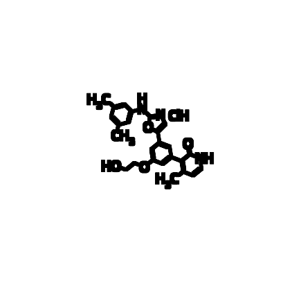 Cc1cc(C)cc(Nc2ncc(-c3cc(OCCO)cc(-c4c(C)cc[nH]c4=O)c3)o2)c1.Cl